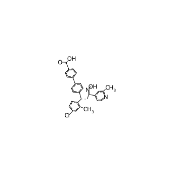 Cc1cc(C(C[C@@H](c2ccc(-c3ccc(C(=O)O)cc3)cc2)c2ccc(Cl)cc2C)=NO)ccn1